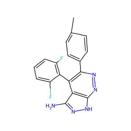 Cc1ccc(-c2nnc3[nH]nc(N)c3c2-c2c(F)cccc2F)cc1